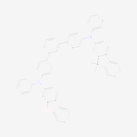 CC1(C)c2ccccc2-c2ccc(N(c3ccccc3)c3ccc(-c4cccc(-c5ccc(N(c6ccccc6)c6ccc7c(c6)oc6ccccc67)cc5)c4)cc3)cc21